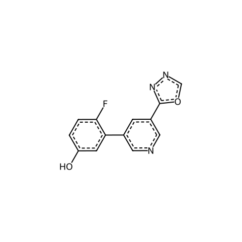 Oc1ccc(F)c(-c2cncc(-c3nnco3)c2)c1